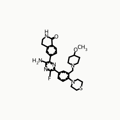 COC1CCN(Cc2cc(-c3nc(-c4ccc5c(c4)CCNC5=O)c(N)nc3F)ccc2N2CCSCC2)CC1